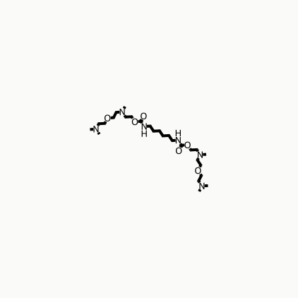 CN(C)CCOCCN(C)CCOC(=O)NCCCCCCNC(=O)OCCN(C)CCOCCN(C)C